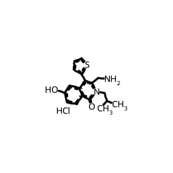 CC(C)Cn1c(CN)c(-c2cccs2)c2cc(O)ccc2c1=O.Cl